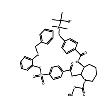 CC(C)C(C)(C)[Si](C)(C)Oc1ccc(C(=O)NC2CCCCN(C(=O)OC(C)(C)C)C2OC(=O)c2ccc(S(=O)(=O)Oc3ccccc3OCc3ccccc3)cc2)cc1